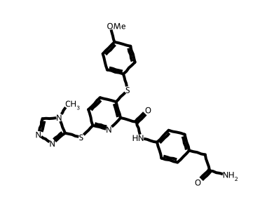 COc1ccc(Sc2ccc(Sc3nncn3C)nc2C(=O)Nc2ccc(CC(N)=O)cc2)cc1